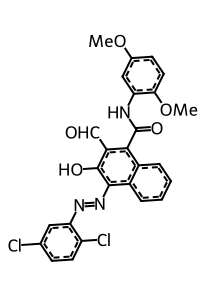 COc1ccc(OC)c(NC(=O)c2c(C=O)c(O)c(N=Nc3cc(Cl)ccc3Cl)c3ccccc23)c1